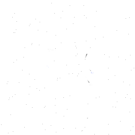 COc1cc2c(cc1N1CCCC1)C[C@@H]1[C@H]3CCCC[C@]23CCN1C